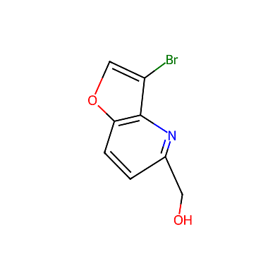 OCc1ccc2occ(Br)c2n1